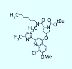 C=CCCCCN(C)C(=O)C1C[C@H](Oc2cc(-c3nc(C(F)(F)F)cs3)nc3c(Cl)c(OC)ccc23)CN1C(=O)OC(C)(C)C